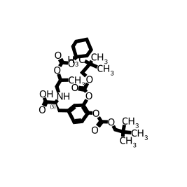 CC(CN[C@@H](Cc1ccc(OC(=O)OCC(C)(C)C)c(OC(=O)OCC(C)(C)C)c1)C(=O)O)OC(=O)OC1CCCCC1